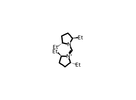 CC[C@@H]1CC[C@@H](CC)N1C=[N+]1[C@H](CC)CC[C@H]1CC